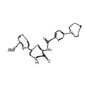 CNc1cncc(-c2c[nH]c(=O)c(NC(=O)c3ccc(N4CCCCC4)cc3)c2)n1